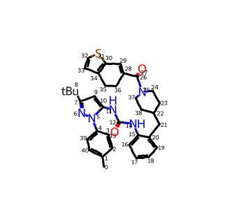 Cc1ccc(-n2nc(C(C)(C)C)cc2NC(=O)Nc2ccccc2CC2CCN(C(=O)C3=Cc4sccc4CC3)CC2)cc1